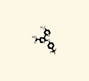 Cc1ccnc(-c2cc(C(=O)O)cnc2Oc2ccc(C(F)(F)F)cc2)c1